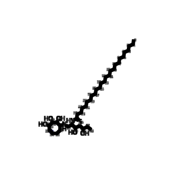 CCCCCCCCCCCCCCCCCCCCCCCCCC(=S)NC(CNC1CC/C=C\C(O)C(O)C1O)C(O)CC(O)CC